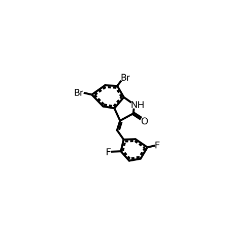 O=C1Nc2c(Br)cc(Br)cc2C1=Cc1cc(F)ccc1F